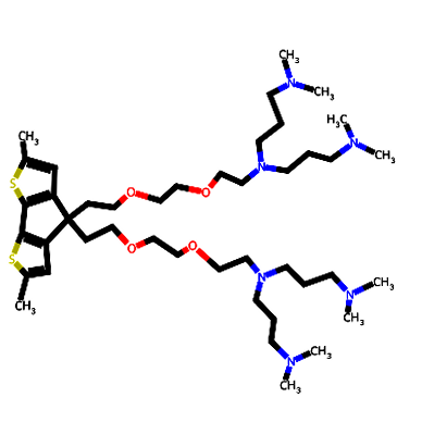 Cc1cc2c(s1)-c1sc(C)cc1C2(CCOCCOCCN(CCCN(C)C)CCCN(C)C)CCOCCOCCN(CCCN(C)C)CCCN(C)C